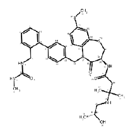 CNC(=O)NCc1ccccc1-c1ccc(CN2C(=O)[C@H](NC(=O)CC(C)(C)NC[C@@H](C)O)CSc3cc(SC)ccc32)cc1